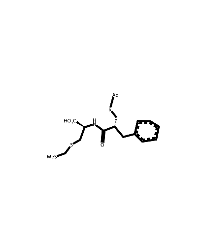 CSCSC[C@H](NC(=O)[C@H](CSC(C)=O)Cc1ccccc1)C(=O)O